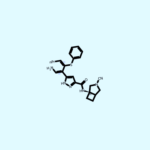 CCC/C=C(Sc1ccccc1)\C(=C/N)c1cc(C(=O)N[C@]23CCC2CN(C#N)C3)n[nH]1